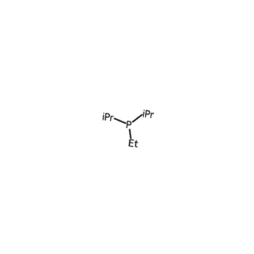 [CH2]CP(C(C)C)C(C)C